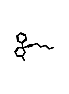 CCCCCC#CC1(c2ccccc2)C=CC=C(C)C1